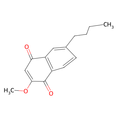 CCCCc1ccc2c(c1)C(=O)C=C(OC)C2=O